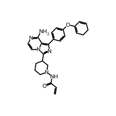 C=CC(=O)NN1CCCC(c2nc(-c3ccc(OC4=CCCC=C4)cc3)c3c(N)nccn23)C1